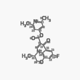 Cc1cc(OC(=O)c2cn3c4c(cc(F)cc4c2=O)OCC3C)cc(C)n1